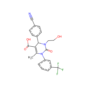 CC1=C(C(=O)O)C(c2ccc(C#N)cc2)N(CCO)C(=O)N1c1cccc(C(F)(F)F)c1